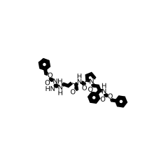 N=C(NCCC[C@@H](C=O)NC(=O)[C@@H]1CCCN1C(=O)CC(NC(=O)OCc1ccccc1)c1ccccc1)NC(=O)OCc1ccccc1